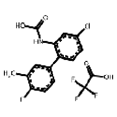 Cc1cc(-c2ccc(Cl)cc2NC(=O)O)ccc1F.O=C(O)C(F)(F)F